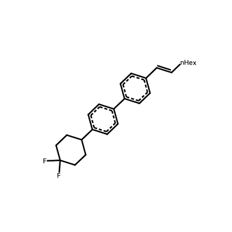 CCCCCC/C=C/c1ccc(-c2ccc(C3CCC(F)(F)CC3)cc2)cc1